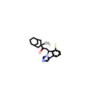 CC1(C(=O)CC2c3c(F)cccc3-c3cncn32)CC2CCCC(C2)C1